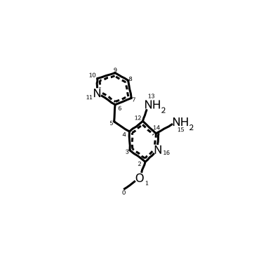 COc1cc(Cc2ccccn2)c(N)c(N)n1